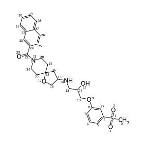 CS(=O)(=O)c1cccc(OCC(O)CNC2COC3(CCN(C(=O)c4ccc5ccccc5c4)CC3)C2)c1